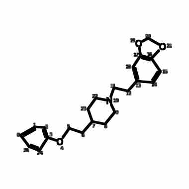 c1ccc(OCCC2CCN(CCc3ccc4c(c3)OCO4)CC2)cc1